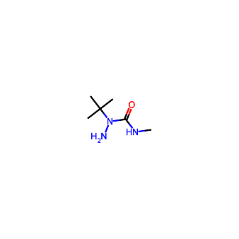 CNC(=O)N(N)C(C)(C)C